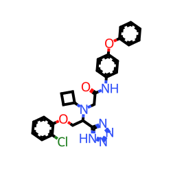 O=C(CN(C1CCC1)C(COc1ccccc1Cl)c1nnn[nH]1)Nc1ccc(Oc2ccccc2)cc1